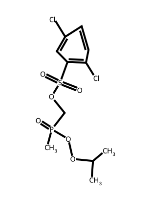 CC(C)OOP(C)(=O)COS(=O)(=O)c1cc(Cl)ccc1Cl